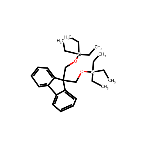 CC[Si](CC)(CC)OCC1(CO[Si](CC)(CC)CC)c2ccccc2-c2ccccc21